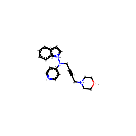 C(#CCN(c1ccncc1)n1ccc2ccccc21)CN1CCOCC1